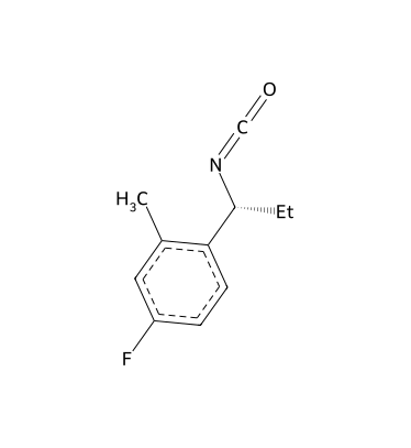 CC[C@@H](N=C=O)c1ccc(F)cc1C